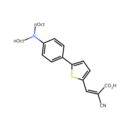 CCCCCCCCN(CCCCCCCC)c1ccc(-c2ccc(/C=C(/C#N)C(=O)O)s2)cc1